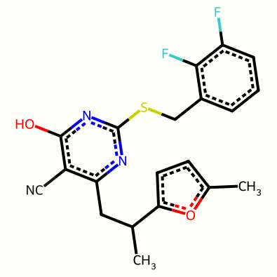 Cc1ccc(C(C)Cc2nc(SCc3cccc(F)c3F)nc(O)c2C#N)o1